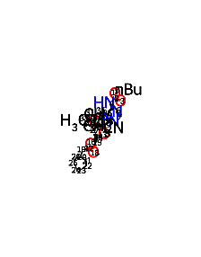 CCCCOC(=O)Nc1ncnn2c([C@]3(C#N)O[C@@H](COC(=O)CC4CCCCCC4)[CH][C@H]3O[Si](C)(C)C)ccc12